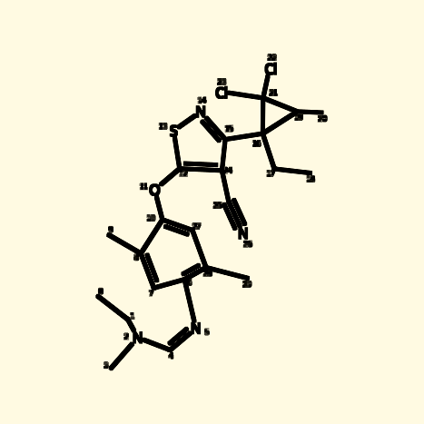 CCN(C)/C=N\c1cc(C)c(Oc2snc(C3(CC)C(C)C3(Cl)Cl)c2C#N)cc1C